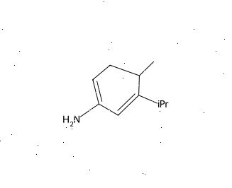 CC(C)C1=CC(N)=CCC1C